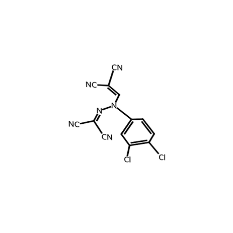 N#CC(C#N)=CN(N=C(C#N)C#N)c1ccc(Cl)c(Cl)c1